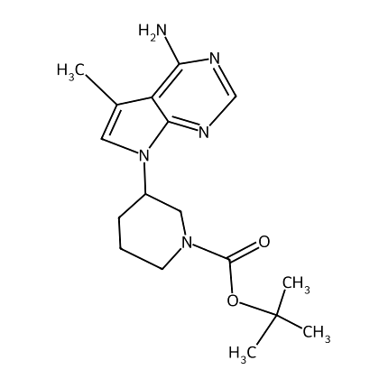 Cc1cn(C2CCCN(C(=O)OC(C)(C)C)C2)c2ncnc(N)c12